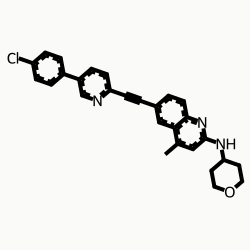 Cc1cc(NC2CCOCC2)nc2ccc(C#Cc3ccc(-c4ccc(Cl)cc4)cn3)cc12